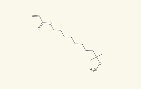 C=CC(=O)OCCCCCCCCC(C)(C)O[SiH3]